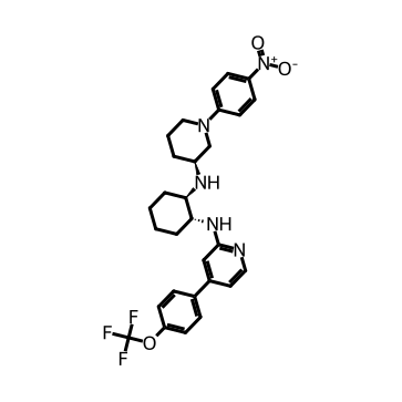 O=[N+]([O-])c1ccc(N2CCC[C@H](N[C@@H]3CCCC[C@H]3Nc3cc(-c4ccc(OC(F)(F)F)cc4)ccn3)C2)cc1